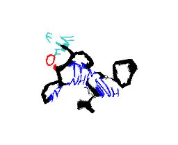 C=C(C)[C@H]1CN(c2ccc(C(F)(F)F)c(C(=O)c3cccnc3N)n2)C[C@H](c2ccccc2)N1